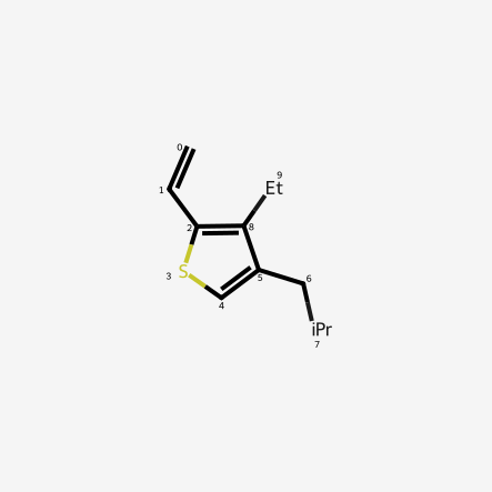 C=Cc1scc(CC(C)C)c1CC